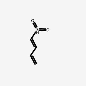 C=CC=C[SH](=O)=O